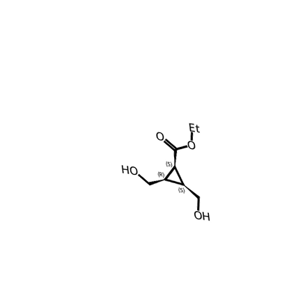 CCOC(=O)[C@@H]1[C@H](CO)[C@@H]1CO